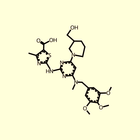 COc1cc(CN(C)c2cc(N3CCCC(CO)C3)nc(Nc3nc(C)c(C(=O)O)s3)n2)cc(OC)c1OC